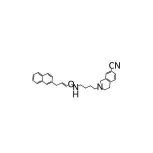 N#Cc1ccc2c(c1)CN(CCCCNO/C=C/Cc1ccc3ccccc3c1)CC2